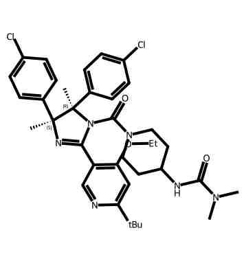 CCOc1cc(C(C)(C)C)ncc1C1=N[C@@](C)(c2ccc(Cl)cc2)[C@@](C)(c2ccc(Cl)cc2)N1C(=O)N1CCC(NC(=O)N(C)C)CC1